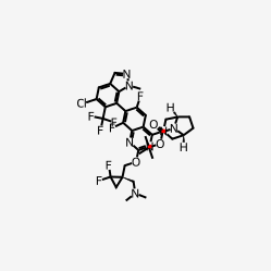 CN(C)C[C@@]1(COc2nc(N3C[C@H]4CC[C@@H](C3)N4C(=O)OC(C)(C)C)c3cc(F)c(-c4c(C(F)(F)F)c(Cl)cc5cnn(C)c45)c(F)c3n2)CC1(F)F